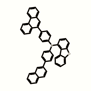 c1ccc2cc(-c3ccc(N(c4ccc(-c5cc6ccccc6c6ccccc56)cc4)c4cccc5oc6ccccc6c45)cc3)ccc2c1